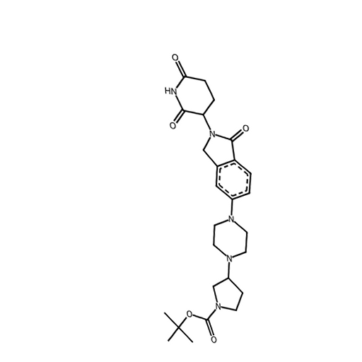 CC(C)(C)OC(=O)N1CCC(N2CCN(c3ccc4c(c3)CN(C3CCC(=O)NC3=O)C4=O)CC2)C1